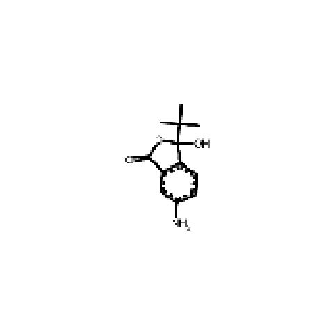 CC(C)(C)C1(O)OC(=O)c2cc(N)ccc21